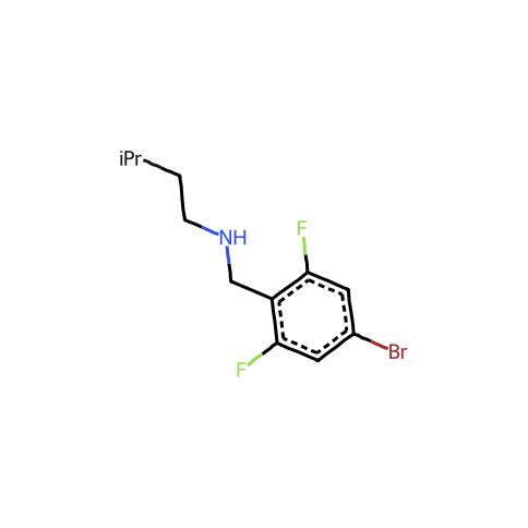 CC(C)CCNCc1c(F)cc(Br)cc1F